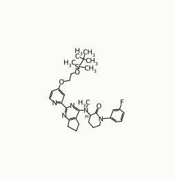 CN(c1nc(-c2cc(OCCO[Si](C)(C)C(C)(C)C)ccn2)nc2c1CCC2)[C@@H]1CCCN(c2cccc(F)c2)C1=O